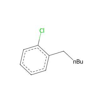 CCCCCc1ccccc1Cl